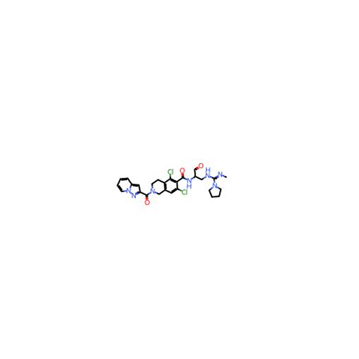 C/N=C(/NCC(C=O)NC(=O)c1c(Cl)cc2c(c1Cl)CCN(C(=O)c1cc3ccccn3n1)C2)N1CCCC1